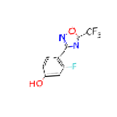 Oc1ccc(-c2noc(C(F)(F)F)n2)c(F)c1